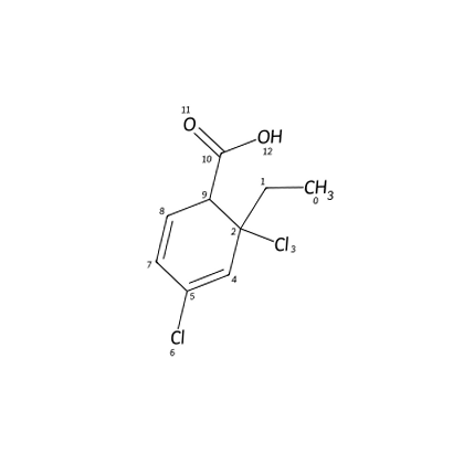 CCC1(Cl)C=C(Cl)C=CC1C(=O)O